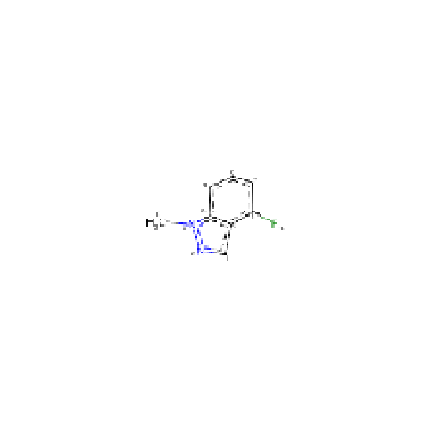 Cn1ncc2c(F)cc[c]c21